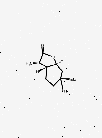 CCCC[C@@]1(C)CC[C@H]2[C@H](C1)OC(=O)[C@@H]2C